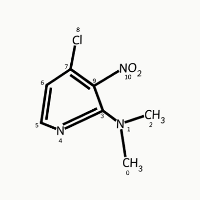 CN(C)c1nccc(Cl)c1[N+](=O)[O-]